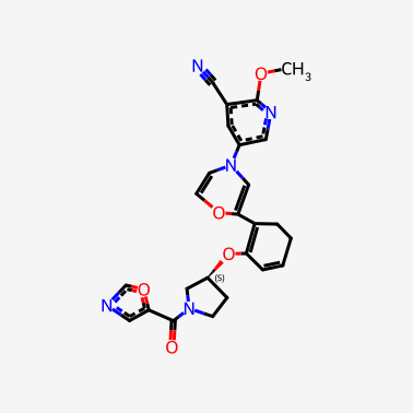 COc1ncc(N2C=COC(C3=C(O[C@H]4CCN(C(=O)c5cnco5)C4)C=CCC3)=C2)cc1C#N